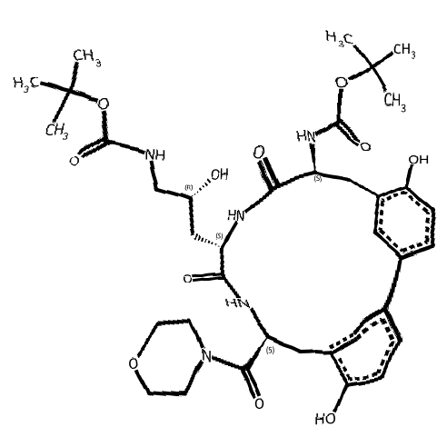 CC(C)(C)OC(=O)NC[C@H](O)C[C@@H]1NC(=O)[C@@H](NC(=O)OC(C)(C)C)Cc2cc(ccc2O)-c2ccc(O)c(c2)C[C@@H](C(=O)N2CCOCC2)NC1=O